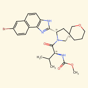 COC(=O)N[C@H](C(=O)N1C[C@]2(CCCOC2)C[C@H]1c1nc2c(ccc3cc(Br)ccc32)[nH]1)C(C)C